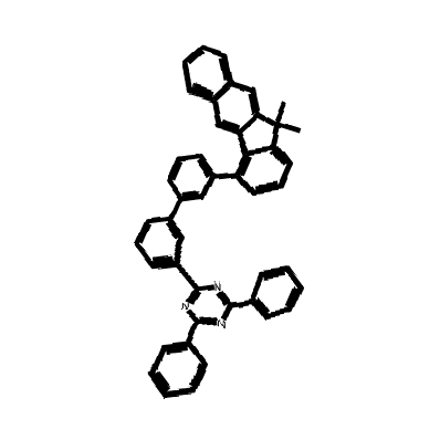 CC1(C)c2cc3ccccc3cc2-c2c(-c3cccc(-c4cccc(-c5nc(-c6ccccc6)nc(-c6ccccc6)n5)c4)c3)cccc21